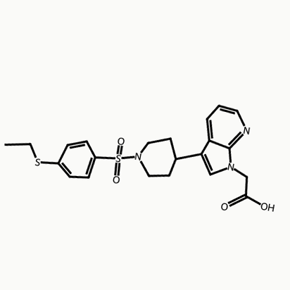 CCSc1ccc(S(=O)(=O)N2CCC(c3cn(CC(=O)O)c4ncccc34)CC2)cc1